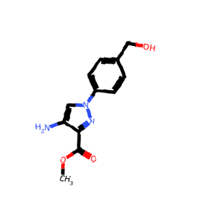 COC(=O)c1nn(-c2ccc(CO)cc2)cc1N